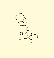 CC(C)(C)C(=O)OC1CC2CCCC(C1)S2